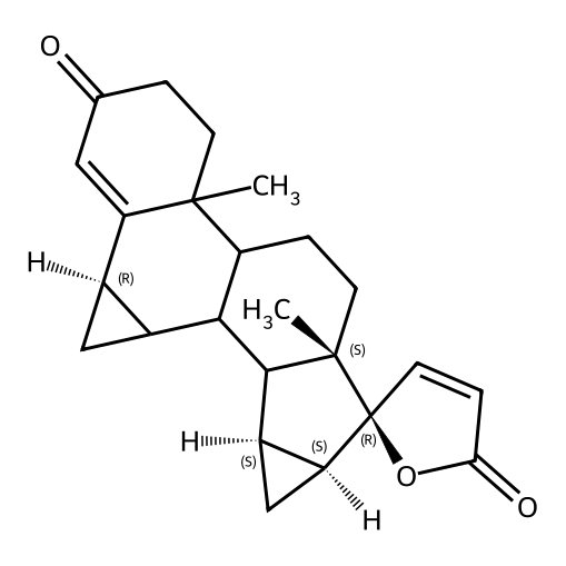 CC12CCC(=O)C=C1[C@@H]1CC1C1C2CC[C@@]2(C)C1[C@@H]1C[C@@H]1[C@@]21C=CC(=O)O1